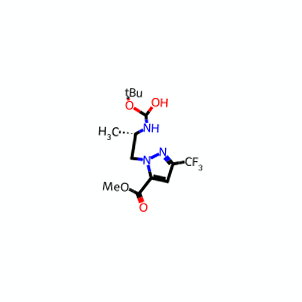 COC(=O)c1cc(C(F)(F)F)nn1C[C@H](C)NC(O)OC(C)(C)C